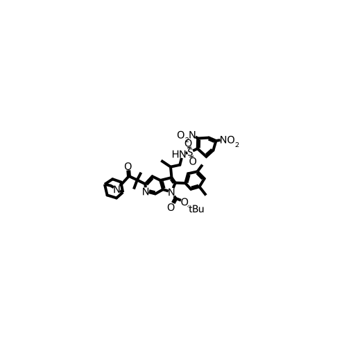 Cc1cc(C)cc(-c2c(C(C)CNS(=O)(=O)c3ccc([N+](=O)[O-])cc3[N+](=O)[O-])c3cc(C(C)(C)C(=O)N4CC5CCC4CC5)ncc3n2C(=O)OC(C)(C)C)c1